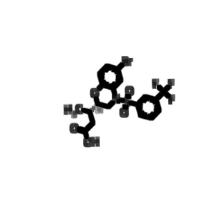 CC(CC(=O)O)[C@H]1CN(S(=O)(=O)c2cccc(C(F)(F)F)c2)c2cc(Br)ccc2O1